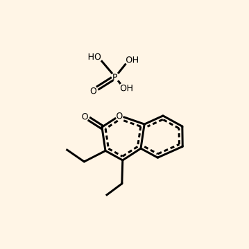 CCc1c(CC)c2ccccc2oc1=O.O=P(O)(O)O